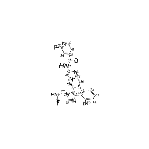 O=C(Nc1cn2nc(-c3c(-c4ccccc4F)ncn3CC(F)F)ccc2n1)c1ccnc(F)c1